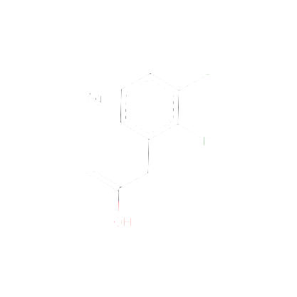 O=C(O)Cc1cccc(F)c1F.[Ag]